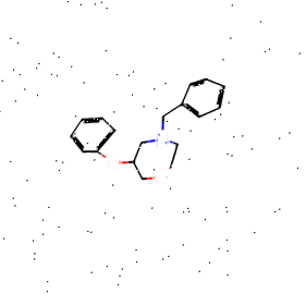 c1ccc(CN2CCOCC(Oc3ccccc3)C2)cc1